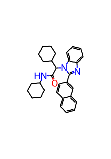 O=C(NC1CCCCC1)C(C1CCCCC1)n1c(-c2ccc3ccccc3c2)nc2ccccc21